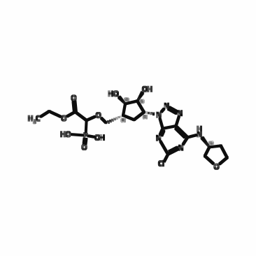 CCOC(=O)C(OC[C@H]1C[C@@H](n2nnc3c(N[C@H]4CCOC4)nc(Cl)nc32)[C@H](O)[C@@H]1O)P(=O)(O)O